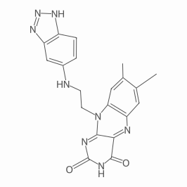 Cc1cc2nc3c(=O)[nH]c(=O)nc-3n(CCNc3ccc4[nH]nnc4c3)c2cc1C